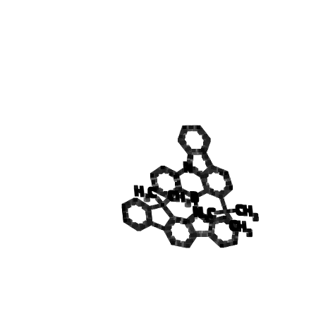 CC(C)(C)c1ccc2c3ccccc3n3c2c1B(n1c2ccccc2c2ccc4c(c21)C(C)(C)c1ccccc1-4)c1ccccc1-3